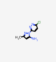 Cc1cc(N)n(-c2ccc(Cl)nn2)n1